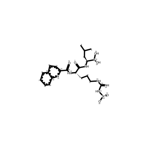 CC(C)C[C@H](NC(=O)[C@H](CCCNC(=N)N[N+](=O)[O-])NC(=O)c1ccc2ccccc2n1)B(O)O